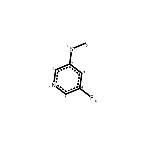 CSc1[c]c(F)cnc1